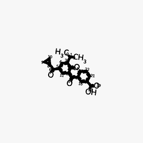 CC(C)c1cc(C(=O)C2CC2)cc2c(=O)c3cc(C(=O)O)ccc3oc12